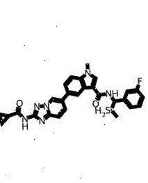 C[SiH2]C(NC(=O)c1cn(C)c2ccc(-c3ccc4nc(NC(=O)C5CC5)nn4c3)cc12)c1cccc(F)c1